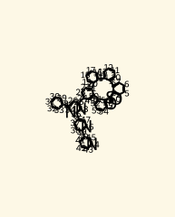 O=S1(=O)c2ccccc2-c2ccccc2-c2ccccc2-c2ccc(-c3cc(-c4ccccc4)nc(-c4ccc(-c5cccnc5)nc4)n3)cc2-c2ccccc21